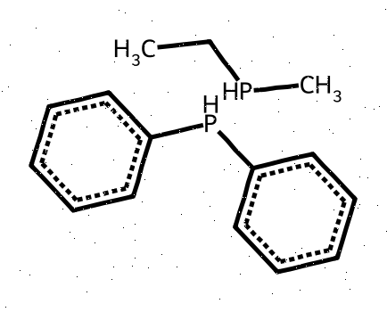 CCPC.c1ccc(Pc2ccccc2)cc1